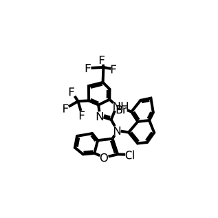 FC(F)(F)c1cc(C(F)(F)F)c2nc(N(c3c(Cl)oc4ccccc34)c3cccc4cccc(Br)c34)[nH]c2c1